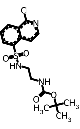 CC(C)(C)OC(=O)NCCNS(=O)(=O)c1cccc2c(Cl)nccc12